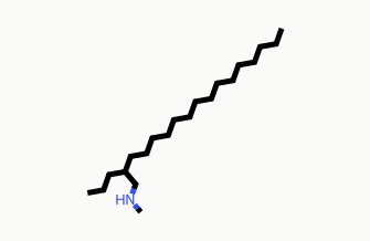 CCCCCCCCCCCCCCCC(CCC)CNC